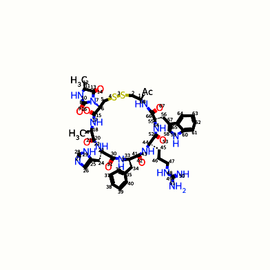 CC(=O)[C@@H]1CSSC[C@H](N2C(=O)N[C@@H](C)C2=O)C(=O)N[C@H](C)C(=O)N[C@@H](Cc2cnc[nH]2)C(=O)N[C@H](Cc2ccccc2)C(=O)N[C@@H](CCCNC(=N)N)C(=O)N[C@@H](Cc2c[nH]c3ccccc23)C(=O)N1